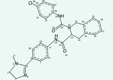 CN1CCN=C1c1ccc(NC(=O)C2Cc3ccccc3CN2C(=O)Nc2ccc(Cl)cc2)cc1